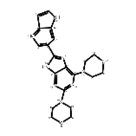 c1cc2ncc(-c3nc4c(N5CCOCC5)nc(N5CCOCC5)nc4[nH]3)cc2[nH]1